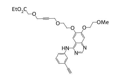 C#Cc1cccc(Nc2ncnc3cc(OCCOC)c(OCCOCC#CCOCC(=O)OCC)cc23)c1